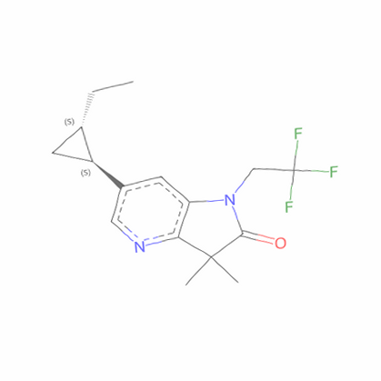 CC[C@H]1C[C@@H]1c1cnc2c(c1)N(CC(F)(F)F)C(=O)C2(C)C